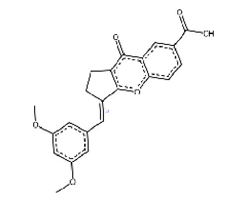 COc1cc(/C=C2\CCc3c2oc2ccc(C(=O)O)cc2c3=O)cc(OC)c1